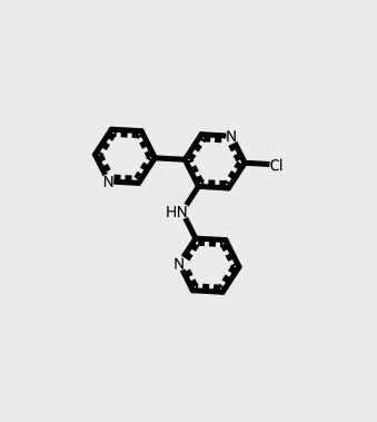 Clc1cc(Nc2ccccn2)c(-c2cccnc2)cn1